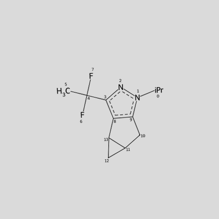 CC(C)n1nc(C(C)(F)F)c2c1CC1CC21